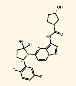 [2H]C1([2H])CC[C@H](c2cc(F)ccc2F)N1c1ccn2ncc(NC(=O)N3CC[C@H](O)C3)c2n1